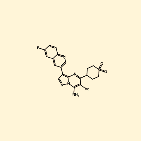 CC(=O)c1c(C2CCS(=O)(=O)CC2)nc2c(-c3cnc4ccc(F)cc4c3)cnn2c1N